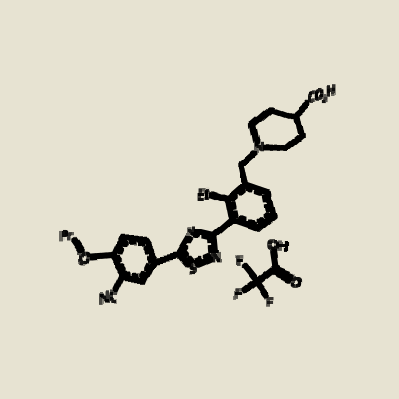 CCc1c(CN2CCC(C(=O)O)CC2)cccc1-c1nsc(-c2ccc(OC(C)C)c(C#N)c2)n1.O=C(O)C(F)(F)F